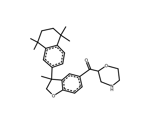 CC1(C)CCC(C)(C)c2cc(C3(C)COc4ccc(C(=O)C5CNCCO5)cc43)ccc21